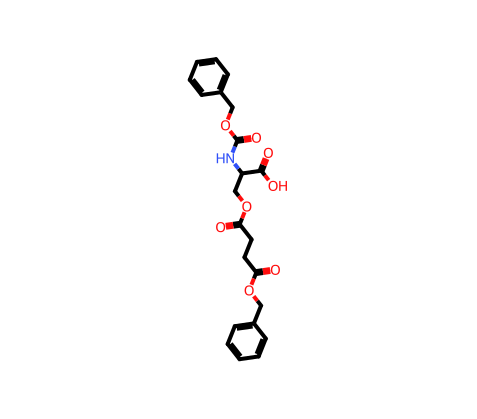 O=C(CCC(=O)OCC(NC(=O)OCc1ccccc1)C(=O)O)OCc1ccccc1